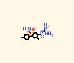 Cc1ccc(-c2cc(C)c(C(=O)N=C(N)N)cc2S(N)(=O)=O)cc1